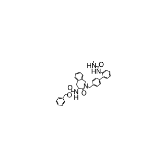 CNC(=O)Nc1ccccc1-c1ccc(CN2Cc3ccccc3C[C@@H](NC(=O)OCc3ccccc3)C2=O)cc1